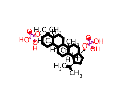 C=C(C)[C@@H]1CC[C@]2(COP(=O)(O)O)CC[C@]3(C)[C@H](CC[C@@H]4[C@@]5(C)CC[C@H](OP(=O)(O)O)C(C)(C)[C@@H]5CC[C@]43C)[C@@H]12